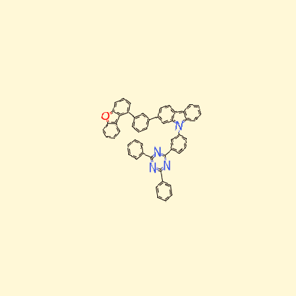 c1ccc(-c2nc(-c3ccccc3)nc(-c3cccc(-n4c5ccccc5c5ccc(-c6cccc(-c7cccc8oc9ccccc9c78)c6)cc54)c3)n2)cc1